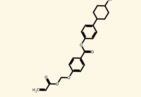 C=CC(=O)OCOc1ccc(C(=O)Oc2ccc(C3CCC(CC)CC3)cc2)cc1